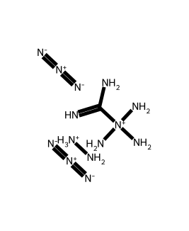 N=C(N)[N+](N)(N)N.N[NH3+].[N-]=[N+]=[N-].[N-]=[N+]=[N-]